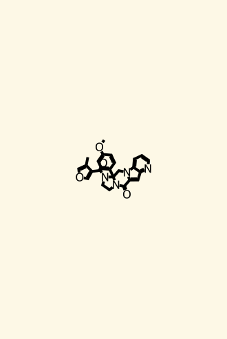 COc1ccc(C23Cn4c(cc5ncccc54)C(=O)N2CCN3C(=O)c2cocc2C)cc1